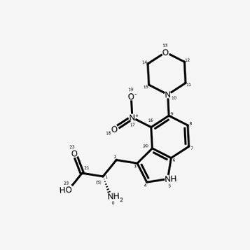 N[C@@H](Cc1c[nH]c2ccc(N3CCOCC3)c([N+](=O)[O-])c12)C(=O)O